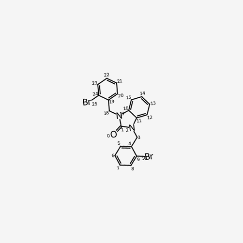 O=c1n(Cc2ccccc2Br)c2ccccc2n1Cc1ccccc1Br